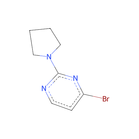 Brc1ccnc(N2CCCC2)n1